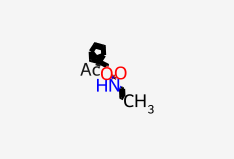 CC=CNC(=O)OCC1(C(C)=O)CC2C=CC1C2